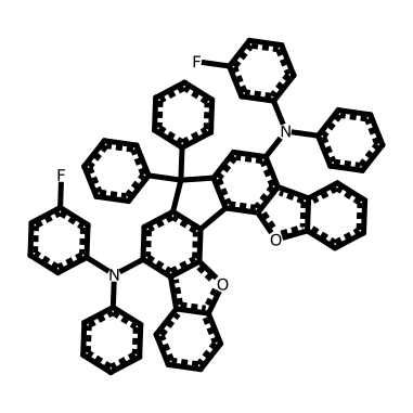 Fc1cccc(N(c2ccccc2)c2cc3c(c4oc5ccccc5c24)-c2c(cc(N(c4ccccc4)c4cccc(F)c4)c4c2oc2ccccc24)C3(c2ccccc2)c2ccccc2)c1